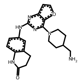 NCC1CCN(c2nc(Nc3ccc4c(c3)CCC(=O)N4)nc3ccoc23)CC1